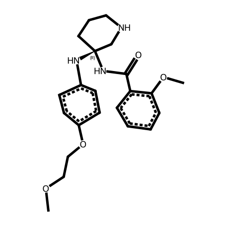 COCCOc1ccc(N[C@@]2(NC(=O)c3ccccc3OC)CCCNC2)cc1